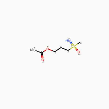 CC(C)(C)C(=O)OCCCS(C)(=N)=O